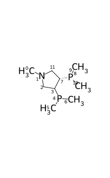 CN1CC(P(C)C)[C@@H](P(C)C)C1